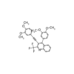 COc1ccc(C#Cc2c(C(F)(F)F)nc3ccccc3c2-c2ccc(OC)c(OC)c2)cc1OC